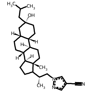 CC(C)C[C@@]1(O)CC[C@H]2[C@H](CC[C@@H]3[C@@H]2CC[C@]2(C)C([C@@H](C)Cn4cc(C#N)cn4)CC[C@@H]32)C1